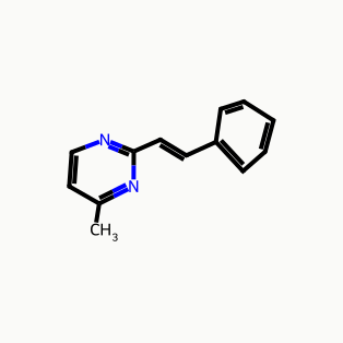 Cc1ccnc(C=Cc2ccccc2)n1